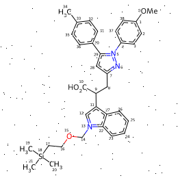 COc1ccc(-n2nc(CC(C(=O)O)c3cn(COCC[Si](C)(C)C)c4ccccc34)cc2-c2ccc(C)cc2)cc1